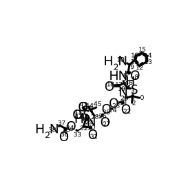 CC1(C)S[C@@H]2C(NC(=O)C(N)c3ccccc3)C(=O)N2[C@H]1C(=O)OCOC(=O)[C@@H]1N2C(=O)[C@@H](COC(=O)CN)[C@H]2S(=O)(=O)C1(C)C